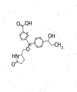 CCC(O)c1ccc([C@@H](OCC2CCC(=O)N2)c2ccc(C(=O)O)s2)cc1